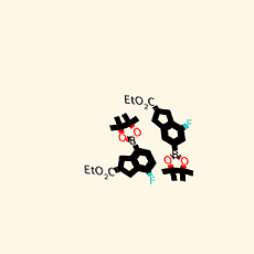 CCOC(=O)C1Cc2c(F)ccc(B3OC(C)(C)C(C)(C)O3)c2C1.CCOC(=O)C1Cc2cc(B3OC(C)(C)C(C)(C)O3)cc(F)c2C1